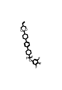 C=CC1COC(C2CCC(c3ccc(C4CCC(C(F)(F)Oc5cc(F)c(F)c(F)c5)CC4)cc3)CC2)OC1